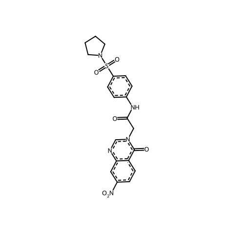 O=C(Cn1cnc2cc([N+](=O)[O-])ccc2c1=O)Nc1ccc(S(=O)(=O)N2CCCC2)cc1